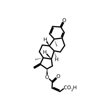 C=C1[C@H](OC(=O)/C=C\C(=O)O)C[C@H]2[C@@H]3CCC4=CC(=O)C=C[C@]4(C)[C@H]3CC[C@]12C